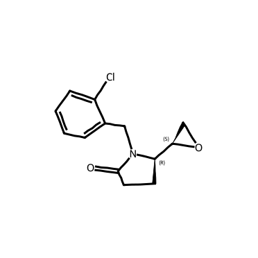 O=C1CC[C@H]([C@H]2CO2)N1Cc1ccccc1Cl